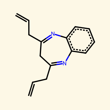 C=CCC1=Nc2ccccc2N=C(CC=C)C1